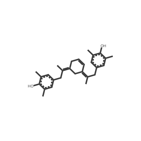 CC(Cc1cc(C)c(O)c(C)c1)=C1C=CCC(=C(C)Cc2cc(C)c(O)c(C)c2)C1